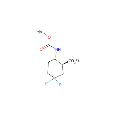 CCOC(=O)[C@H]1CC(F)(F)CC[C@@H]1NC(=O)OC(C)(C)C